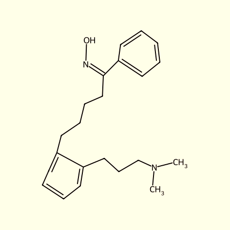 CN(C)CCCc1ccccc1CCCCC(=NO)c1ccccc1